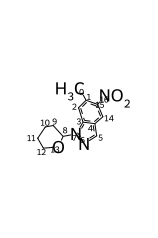 Cc1cc2c(cnn2C2CCCCO2)cc1[N+](=O)[O-]